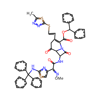 CON=C(C(=O)NC1C(=O)N2C(C(=O)OC(c3ccccc3)c3ccccc3)=C(C=CSc3nnc(C)s3)CC(=O)C12)c1csc(NC(c2ccccc2)(c2ccccc2)c2ccccc2)n1